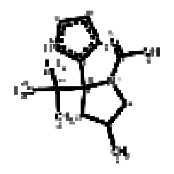 CC1CN(C(=O)O)[C@](c2ncc[nH]2)(C(C)(C)C)C1